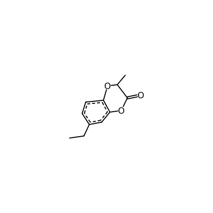 CCc1ccc2c(c1)OC(=O)C(C)O2